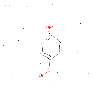 Oc1ccc(OBr)cc1